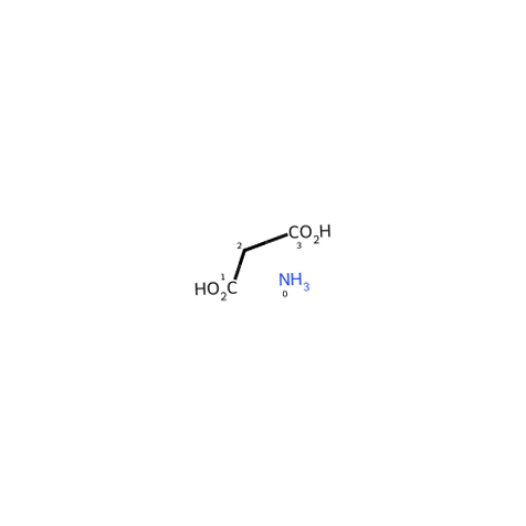 N.O=C(O)CC(=O)O